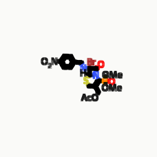 COP(=O)(OC)C1=C(COC(C)=O)CS[C@H]2N1C(=O)[C@@]2(Br)/N=C/c1ccc([N+](=O)[O-])cc1